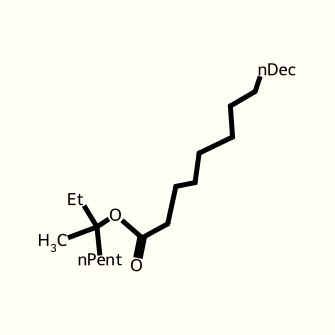 CCCCCCCCCCCCCCCCCC(=O)OC(C)(CC)CCCCC